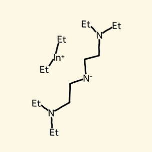 CCN(CC)CC[N-]CCN(CC)CC.C[CH2][In+][CH2]C